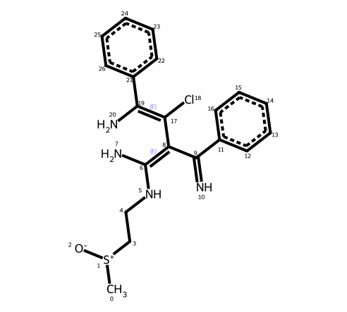 C[S+]([O-])CCN/C(N)=C(C(=N)c1ccccc1)/C(Cl)=C(\N)c1ccccc1